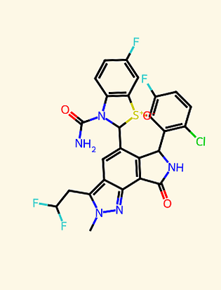 Cn1nc2c3c(c(C4N(C(N)=O)c5ccc(F)cc5[S+]4[O-])cc2c1CC(F)F)C(c1cc(F)ccc1Cl)NC3=O